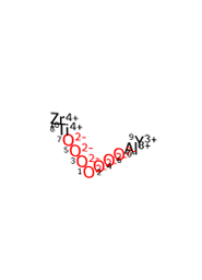 [Al+3].[O-2].[O-2].[O-2].[O-2].[O-2].[O-2].[O-2].[Ti+4].[Y+3].[Zr+4]